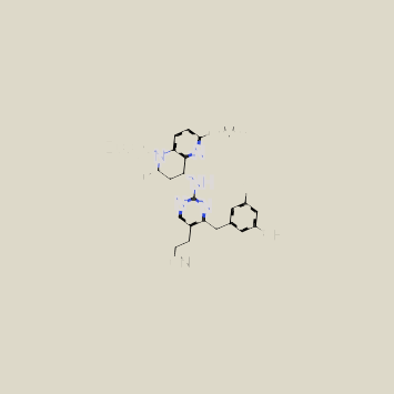 CCOC(=O)N1c2ccc(OC)nc2[C@@H](Nc2ncc(CCC#N)c(Cc3cc(C(F)(F)F)cc(C(F)(F)F)c3)n2)C[C@H]1CC